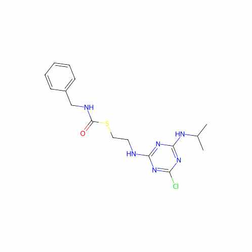 CC(C)Nc1nc(Cl)nc(NCCSC(=O)NCc2ccccc2)n1